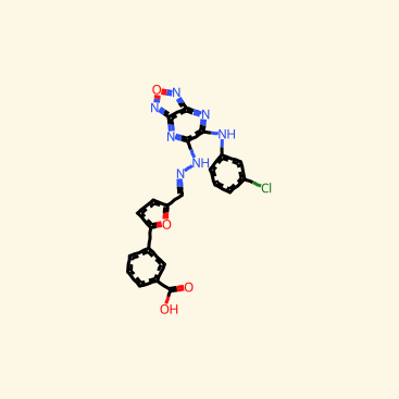 O=C(O)c1cccc(-c2ccc(C=NNc3nc4nonc4nc3Nc3cccc(Cl)c3)o2)c1